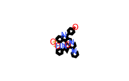 COc1ccc(-c2nc3ccc(S(C)(=O)=O)cc3c(C(=O)NC3(c4ccccc4)CC3)c2CN2CCC(N3CCCCC3)CC2)cc1